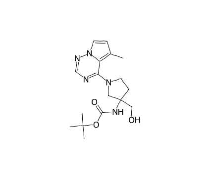 Cc1ccn2ncnc(N3CCC(CO)(NC(=O)OC(C)(C)C)C3)c12